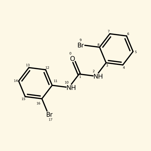 O=C(Nc1ccccc1Br)Nc1ccccc1Br